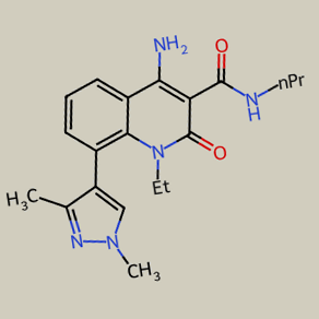 CCCNC(=O)c1c(N)c2cccc(-c3cn(C)nc3C)c2n(CC)c1=O